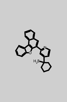 BC1(c2ccnc(-c3cc4ccccc4c4c3oc3ccccc34)c2)CCCCC1